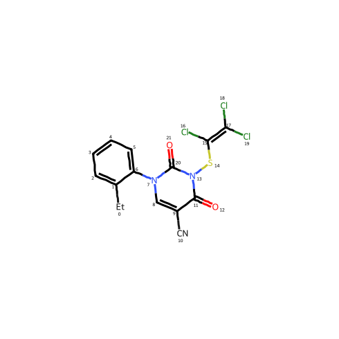 CCc1ccccc1-n1cc(C#N)c(=O)n(SC(Cl)=C(Cl)Cl)c1=O